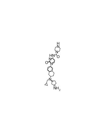 N[C@H]1CC[C@H](N(CC2CC2)C2CCc3cc(-n4ccc(NC(=O)N5CCNCC5)nc4=O)ccc3C2)C1